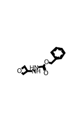 O=C(NNC1COC1)OCc1ccccc1